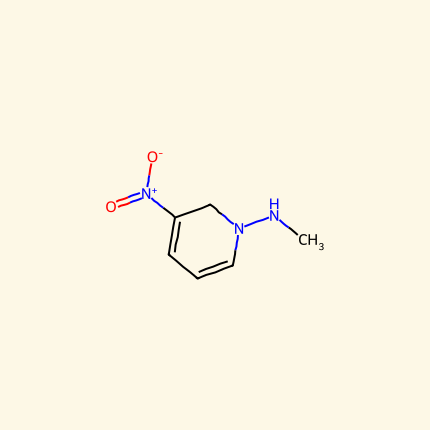 CNN1C=CC=C([N+](=O)[O-])C1